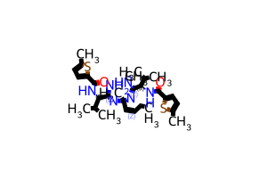 CC/C=C\C(C)(/N=C(\N)[C@@H](NC(=O)c1ccc(C)s1)C(C)C)/N=C(\NC)[C@@H](NC(=O)c1ccc(C)s1)C(C)C